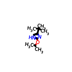 CC(C)Oc1nc(C(C)(C)C)c[nH]1